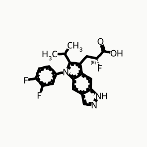 CC(C)c1c(C[C@@H](F)C(=O)O)c2cc3[nH]ncc3cc2n1-c1ccc(F)c(F)c1